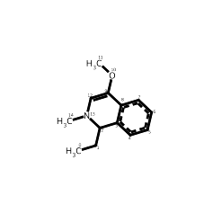 CCC1c2ccccc2C(OC)=CN1C